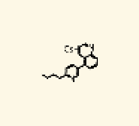 CCCCc1ccc(-c2cccc3ncccc23)cn1.[CsH]